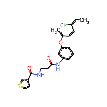 C=C(/C=C\C(Cl)=C/C)Oc1cccc(NC(=O)CCNC(=O)c2ccsc2)c1